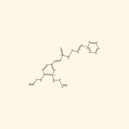 O=CCOc1ccc(/C=C/C(=O)OC/C=C/c2ccccc2)cc1OCC=O